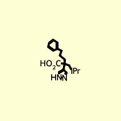 CC(C)CC(CCCc1ccccc1)(C(=O)O)c1cn[nH]c1